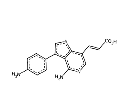 Nc1ccc(-c2csc3c(C=CC(=O)O)cnc(N)c23)cc1